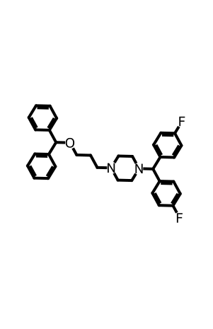 Fc1ccc(C(c2ccc(F)cc2)N2CCN(CCCOC(c3ccccc3)c3ccccc3)CC2)cc1